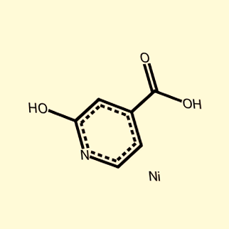 O=C(O)c1ccnc(O)c1.[Ni]